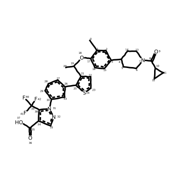 Cc1cc(C2CCN(C(=O)C3CC3)CC2)ccc1OC(C)c1ccsc1-c1cccc(-n2ncc(C(=O)O)c2C(F)(F)F)c1